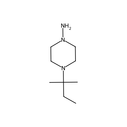 CCC(C)(C)N1CCN(N)CC1